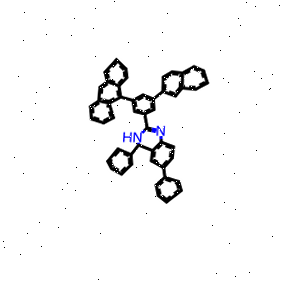 c1ccc(-c2ccc3c(c2)C(c2ccccc2)NC(c2cc(-c4ccc5ccccc5c4)cc(-c4c5ccccc5cc5ccccc45)c2)=N3)cc1